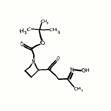 CC(CC(=O)C1CCN1C(=O)OC(C)(C)C)=NO